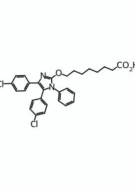 O=C(O)CCCCCCCOc1nc(-c2ccc(Cl)cc2)c(-c2ccc(Cl)cc2)n1-c1ccccc1